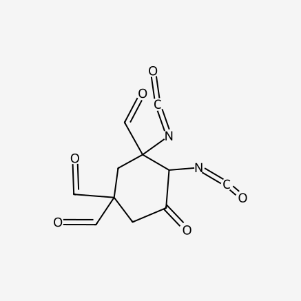 O=C=NC1C(=O)CC(C=O)(C=O)CC1(C=O)N=C=O